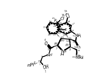 CCC[C@@H](O)CNC(=O)[C@@H]1N[C@H](CC(C)(C)C)[C@]2(C(=O)Nc3cc(Cl)c(F)cc32)[C@H]1c1cccc(Cl)c1F